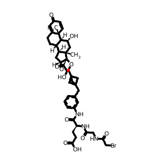 C[C@]12C=CC(=O)C=C1CC[C@@H]1[C@@H]2[C@@H](O)C[C@@]2(C)[C@H]1C[C@H]1O[C@@H](C34CC(Cc5cccc(NC(=O)[C@H](CCC(=O)O)NC(=O)CNC(=O)CBr)c5)(C3)C4)O[C@]12C(=O)CO